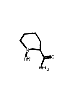 CCCN1CCCCC1C(N)=O